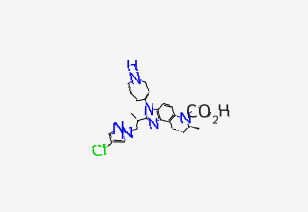 CC(Cn1cc(Cl)cn1)c1nc2c3c(ccc2n1[C@@H]1CCCNCC1)N(C(=O)O)[C@@H](C)CC3